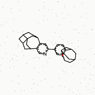 c1cc2c(cc1-c1cc3c(cn1)C1CC4CC5CC3CC45C1)C1CC3CC(CC2C3)C1